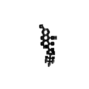 O=C(Nc1nnc(C(F)(F)C(F)(F)F)s1)c1c(O)c2ccc(Cl)cc2oc1=O